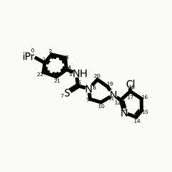 CC(C)c1ccc(NC(=S)N2CCN(C3=NC=CCC3Cl)CC2)cc1